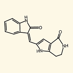 O=C1Nc2ccccc2C1=Cc1cc2c([nH]1)CCNC2=O